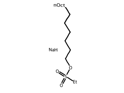 CCCCCCCCCCCCCCOS(=O)(=O)CC.[NaH]